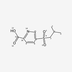 CC(C)CS(=O)(=O)c1ccc(C(=O)O)nc1